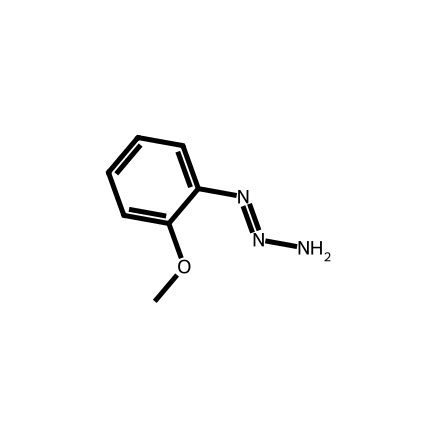 COc1ccccc1/N=N/N